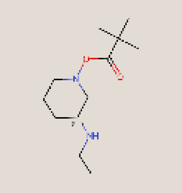 CCN[C@@H]1CCCN(OC(=O)C(C)(C)C)C1